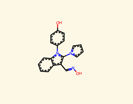 O/N=C/c1c(-n2cccc2)n(-c2ccc(O)cc2)c2ccccc12